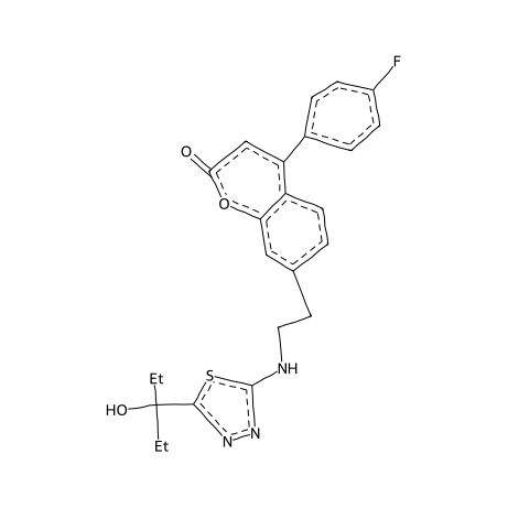 CCC(O)(CC)c1nnc(NCCc2ccc3c(-c4ccc(F)cc4)cc(=O)oc3c2)s1